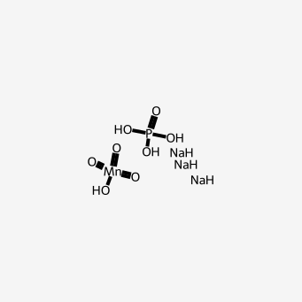 O=P(O)(O)O.[NaH].[NaH].[NaH].[O]=[Mn](=[O])(=[O])[OH]